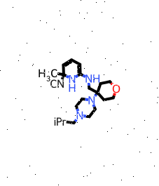 CC(C)CN1CCN(C2(CNC3=CC=CC(C)(C#N)N3)CCOCC2)CC1